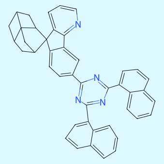 c1cnc2c(c1)C1(c3ccc(-c4nc(-c5cccc6ccccc56)nc(-c5cccc6ccccc56)n4)cc3-2)C2CC3CC(C2)CC1C3